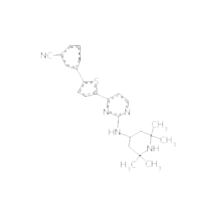 CC1(C)CC(Nc2nccc(-c3ccc(-c4cccc(C#N)c4)s3)n2)CC(C)(C)N1